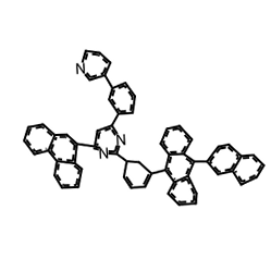 C1=CC(c2nc(-c3cccc(-c4cccnc4)c3)cc(-c3cc4ccccc4c4ccccc34)n2)CC(c2c3ccccc3c(-c3ccc4ccccc4c3)c3ccccc23)=C1